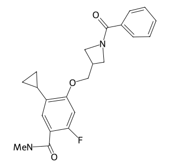 CNC(=O)c1cc(C2CC2)c(OCC2CN(C(=O)c3ccccc3)C2)cc1F